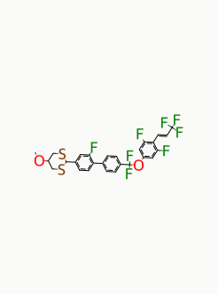 COC1CSC(c2ccc(-c3ccc(C(F)(F)Oc4cc(F)c(/C=C/C(F)(F)F)c(F)c4)cc3)c(F)c2)SC1